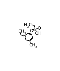 CCN1C=CC=C(C)C1.CCS(=O)(=O)O